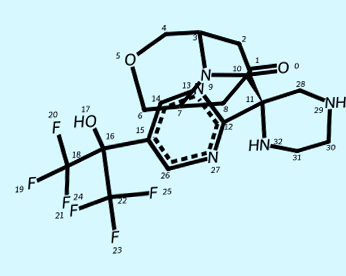 O=C1CC2COCC(C1)N2C[C@@]1(c2ncc(C(O)(C(F)(F)F)C(F)(F)F)cn2)CNCCN1